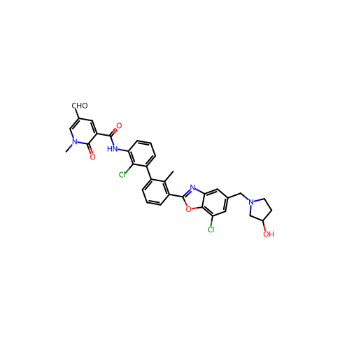 Cc1c(-c2nc3cc(CN4CCC(O)C4)cc(Cl)c3o2)cccc1-c1cccc(NC(=O)c2cc(C=O)cn(C)c2=O)c1Cl